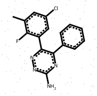 Cc1cc(Cl)cc(-c2nnc(N)nc2-c2ccccc2)c1F